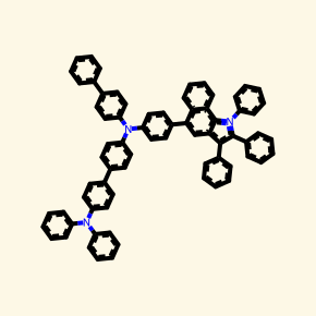 c1ccc(-c2ccc(N(c3ccc(-c4ccc(N(c5ccccc5)c5ccccc5)cc4)cc3)c3ccc(-c4cc5c(-c6ccccc6)c(-c6ccccc6)n(-c6ccccc6)c5c5ccccc45)cc3)cc2)cc1